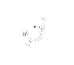 CC(=O)N[C@@H](CCCNC(=N)N)C(=O)N[C@H]1CCC(=O)NCCC[C@@H](C(N)=O)NC(=O)[C@H](Cc2c[nH]c3ccccc23)NC(=O)C(CCCNC(=N)N)NC(=O)[C@@H](Cc2ccccc2)NC(=O)[C@H](CCCCN)NC1=O